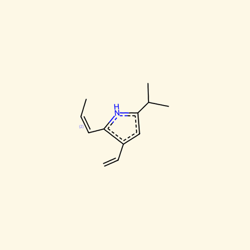 C=Cc1cc(C(C)C)[nH]c1/C=C\C